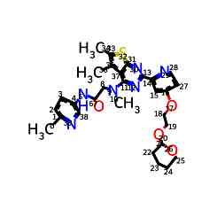 Cc1ccc(NC(=O)CN(C)c2nc(-c3cc(OCCOC4CCCCO4)ccn3)nc3sc(C)c(C)c23)cn1